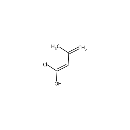 C=C(C)C=C(O)Cl